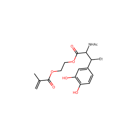 C=C(C)C(=O)OCCOC(=O)C(NC(C)=O)C(CC)c1ccc(O)c(O)c1